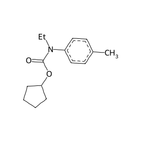 CCN(C(=O)OC1CCCC1)c1ccc(C)cc1